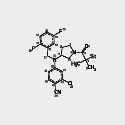 CCC(C)(C)C(=O)N1CCC(N(Cc2cc(F)ccc2F)c2ccc(C#N)c(Cl)c2)C1